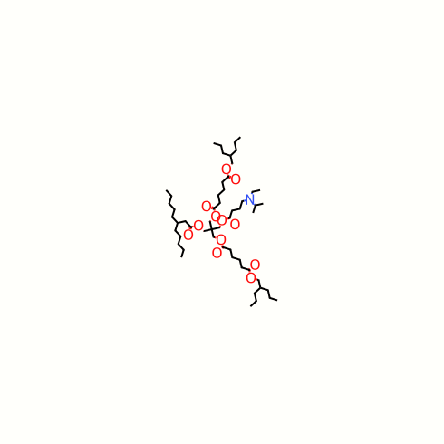 CCCCCC(CCCCC)CC(=O)OCC(COC(=O)CCCCC(=O)OCC(CCC)CCC)(COC(=O)CCCCC(=O)OCC(CCC)CCC)COC(=O)CCCN(CC)C(C)C